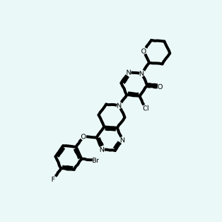 O=c1c(Cl)c(N2CCc3c(ncnc3Oc3ccc(F)cc3Br)C2)cnn1C1CCCCO1